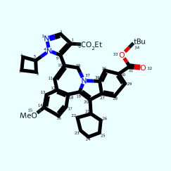 CCOC(=O)c1cnn(C2CCC2)c1C1=Cc2cc(OC)ccc2-c2c(C3CCCCC3)c3ccc(C(=O)OC(C)(C)C)cc3n2C1